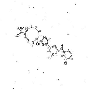 C=C1/C=C\C(C(=O)OC)=C/CCCCC1(O)c1ncc(-c2cc(C)cc(Nc3cc(Cl)ccn3)n2)s1